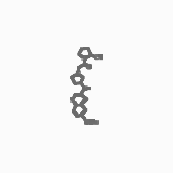 COc1ccc2ncc(N(C)[C@H]3CCN(CC(=O)N4CCCC4C#N)C3)cc2c1